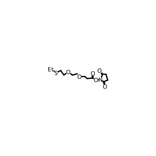 CCSCCOCCOCCC(=O)ON1C(=O)CCC1=O